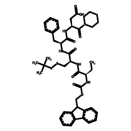 CC[C@H](NC(=O)OCC1c2ccccc2-c2ccccc21)C(=O)N[C@@H](CSSC(C)(C)C)C(=O)N[C@@H](Cc1ccccc1)C(=O)N[C@@H](CC(=O)O)C(=O)N1CCCCC1